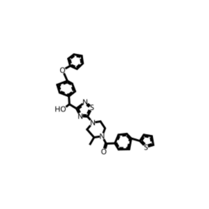 CC1CN(c2nc(C(O)c3ccc(Oc4ccccc4)cc3)ns2)CCN1C(=O)c1ccc(-c2cccs2)cc1